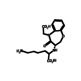 CCOC(=O)C(CCCCN)N[C@H]1COc2ccccc2N(CC(=O)O)C1=O